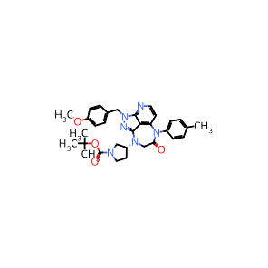 COc1ccc(Cn2nc3c4c(ccnc42)N(c2ccc(C)cc2)C(=O)CN3[C@@H]2CCN(C(=O)OC(C)(C)C)C2)cc1